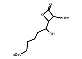 CCCCCCCCCCCCCCC(O)C1OC(=O)C1CCCCCC